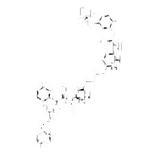 O=C(Cc1cccc(OC(F)(F)F)c1)Nc1ccc(CCCCc2nnc(NC(=O)C(OC(=O)CCN3CCOCC3)c3ccccc3)s2)nn1